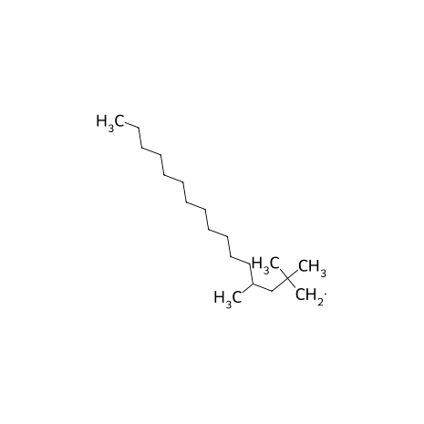 [CH2]C(C)(C)CC(C)CCCCCCCCCCCC